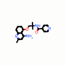 Cc1cc(N)c2c(OCC(C)(C)NC(=O)c3ccncc3)cccc2n1